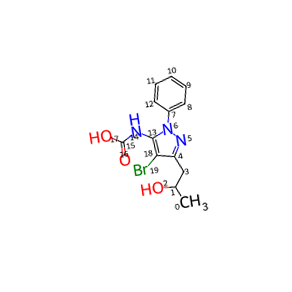 CC(O)Cc1nn(-c2ccccc2)c(NC(=O)O)c1Br